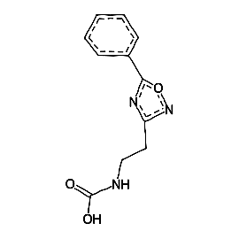 O=C(O)NCCc1noc(-c2ccccc2)n1